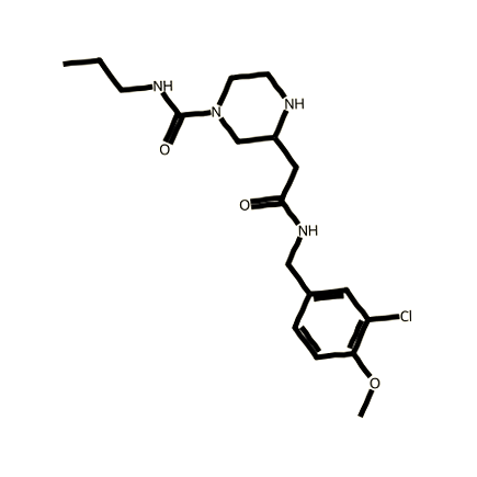 CCCNC(=O)N1CCNC(CC(=O)NCc2ccc(OC)c(Cl)c2)C1